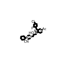 CC(=O)N1CCc2c(c(-c3ccc(Cl)cc3F)nn2CC(O)CN2CCN(c3ccccc3C#N)CC2)C1